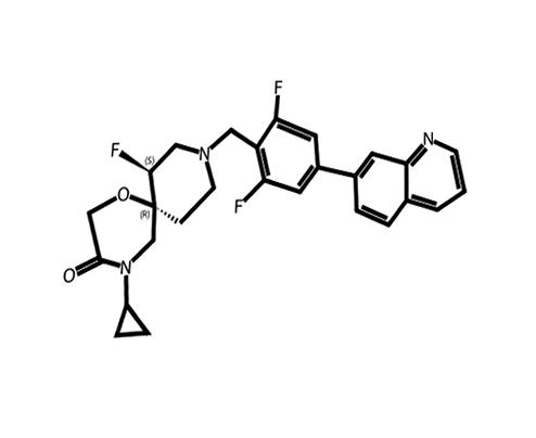 O=C1CO[C@]2(CCN(Cc3c(F)cc(-c4ccc5cccnc5c4)cc3F)C[C@@H]2F)CN1C1CC1